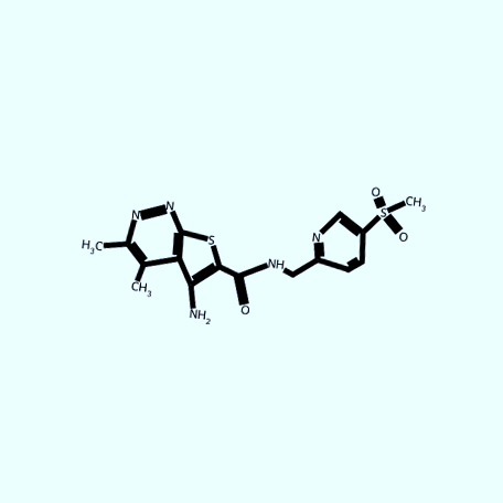 Cc1nnc2sc(C(=O)NCc3ccc(S(C)(=O)=O)cn3)c(N)c2c1C